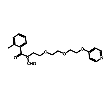 Cc1ccccc1C(=O)N(C=O)CCOCCOCCOc1ccncc1